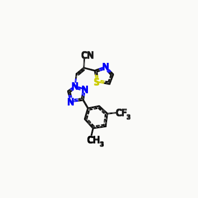 Cc1cc(-c2ncn(C=C(C#N)c3nccs3)n2)cc(C(F)(F)F)c1